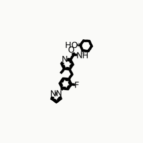 Cc1cnc(C(=O)N[C@H]2CCCC[C@@H]2O)cc1Cc1ccc(-n2cccn2)cc1F